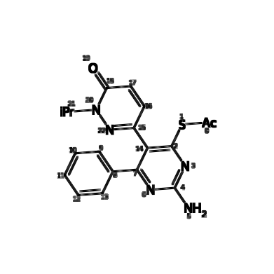 CC(=O)Sc1nc(N)nc(-c2ccccc2)c1-c1ccc(=O)n(C(C)C)n1